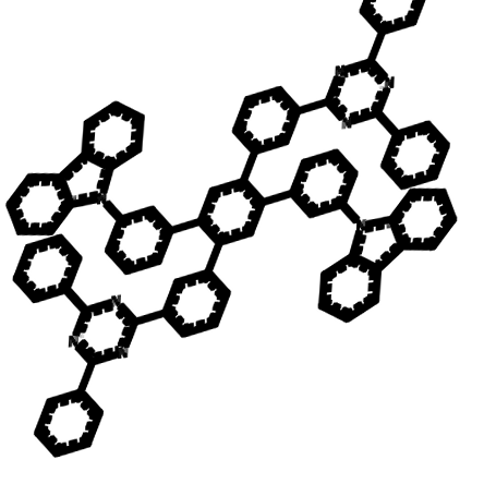 c1ccc(-c2nc(-c3ccccc3)nc(-c3cccc(-c4cc(-c5cccc(-n6c7ccccc7c7ccccc76)c5)c(-c5cccc(-c6nc(-c7ccccc7)nc(-c7ccccc7)n6)c5)cc4-c4cccc(-n5c6ccccc6c6ccccc65)c4)c3)n2)cc1